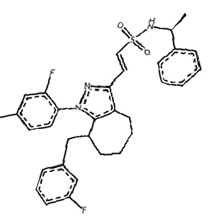 C[C@H](NS(=O)(=O)/C=C/c1nn(-c2ccc(F)cc2F)c2c1CCCCC2Cc1cccc(F)c1)c1ccccc1